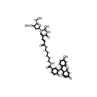 COC1C[C@H](N2C=C(/C=C/C(=O)CCCCCCNC(=O)c3ccc(C(=O)O)c(-c4c5ccc(=O)cc-5oc5cc(O)ccc45)c3)C(=O)NC2O)O[C@@H]1CO